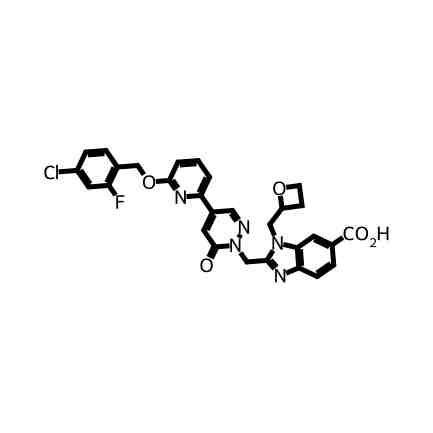 O=C(O)c1ccc2nc(Cn3ncc(-c4cccc(OCc5ccc(Cl)cc5F)n4)cc3=O)n(CC3CCO3)c2c1